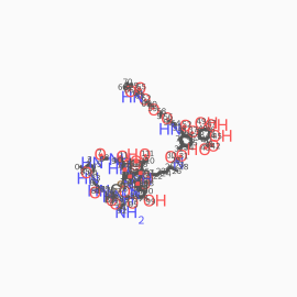 CC[C@H](C)[C@@H]1NC(=O)CNC(=O)[C@@H]2Cc3c([nH]c4cc(OCCCCCCN(C)C(=O)OCc5ccc(O[C@@H]6C[C@H](C(=O)O)[C@@H](O)[C@H](O)[C@H]6O)c(C(=O)NCCOCCOCCONC(=O)OC(C)(C)C)c5)ccc34)[S+]([O-])C[C@H](NC(=O)CNC1=O)C(=O)N[C@@H](CC(N)=O)C(=O)N1C[C@H](O)C[C@H]1C(=O)N[C@@H]([C@@H](C)[C@@H](O)CO)C(=O)N2